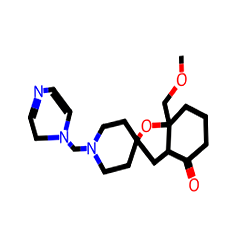 COCC12CCCC(=O)C1CC1(CCN(CN3C=CN=CC3)CC1)O2